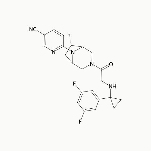 C[C@H]1CC2CN(C(=O)CNC3(c4cc(F)cc(F)c4)CC3)CC1N2c1ccc(C#N)cn1